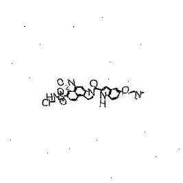 CN(C)CCOc1ccc2[nH]c(C(=O)N3CCc4c3cc([N+](=O)[O-])c3cc(S(=O)(=O)NCCl)ccc43)cc2c1